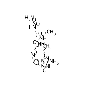 CCCCOc1nc(N)c2[nH]c(=O)n(Cc3ccc(CN4CCC(CCNC(=O)[C@H](CCCCNC(=O)CON)NC(=O)CCC)CC4)cc3)c2n1